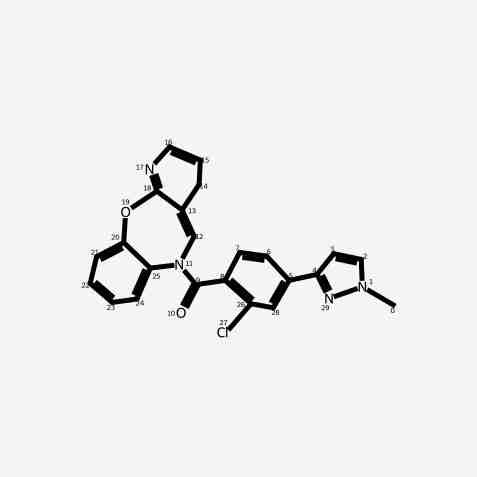 Cn1ccc(-c2ccc(C(=O)N3C=C4CC=CN=C4Oc4ccccc43)c(Cl)c2)n1